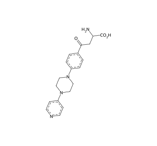 NC(CC(=O)c1ccc(N2CCN(c3ccncc3)CC2)cc1)C(=O)O